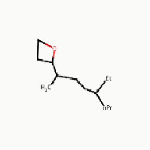 CCCC(CC)CC[C](C)C1CCO1